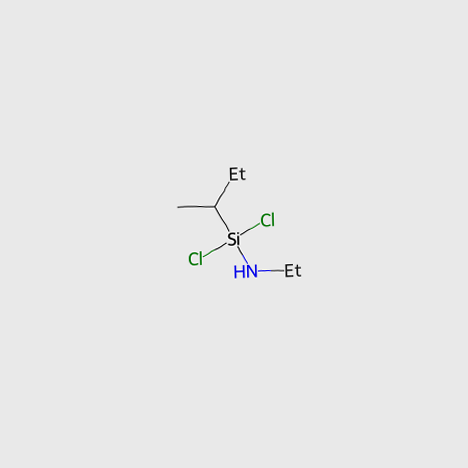 CCN[Si](Cl)(Cl)C(C)CC